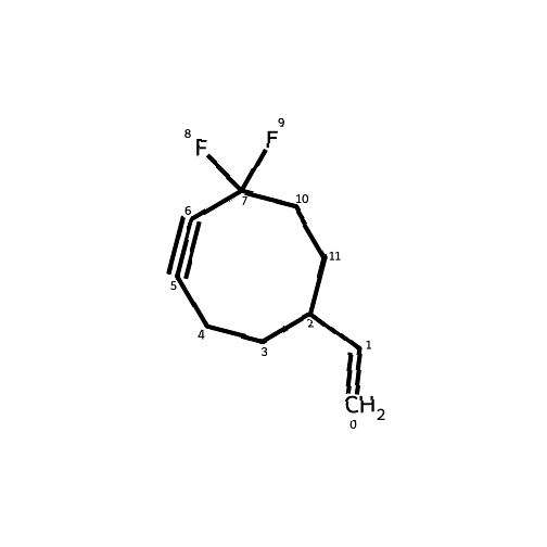 C=CC1CCC#CC(F)(F)CC1